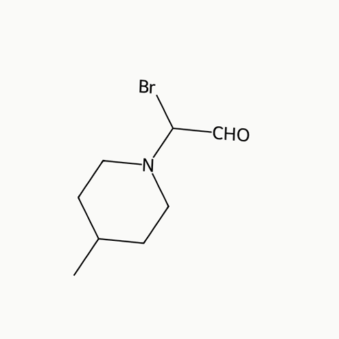 CC1CCN(C(Br)C=O)CC1